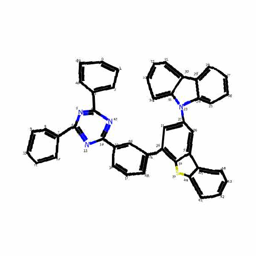 c1ccc(-c2nc(-c3ccccc3)nc(-c3cccc(-c4cc(-n5c6ccccc6c6ccccc65)cc5c4sc4ccccc45)c3)n2)cc1